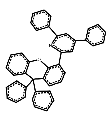 c1ccc(-c2cc(-c3ccccc3)nc(-c3cccc4c3Oc3ccccc3C4(c3ccccc3)c3ccccc3)c2)cc1